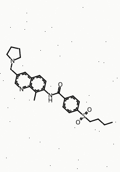 CCCCS(=O)(=O)c1ccc(C(=O)Nc2ccc3cc(CN4CCCC4)cnc3c2C)cc1